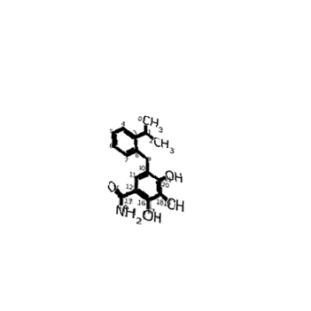 CC(C)c1ccccc1Cc1cc(C(N)=O)c(O)c(O)c1O